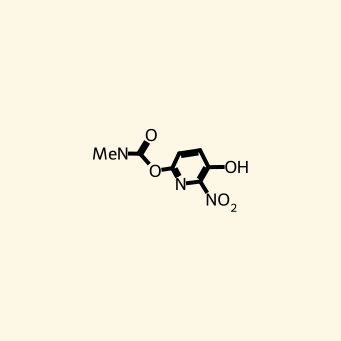 CNC(=O)Oc1ccc(O)c([N+](=O)[O-])n1